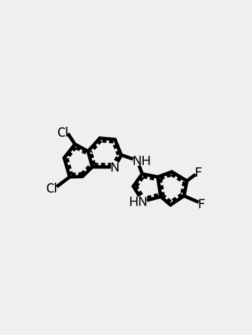 Fc1cc2[nH]cc(Nc3ccc4c(Cl)cc(Cl)cc4n3)c2cc1F